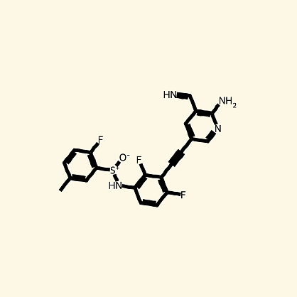 Cc1ccc(F)c([S+]([O-])Nc2ccc(F)c(C#Cc3cnc(N)c(C=N)c3)c2F)c1